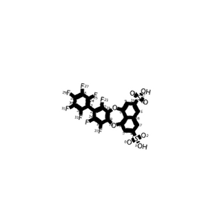 O=S(=O)(O)c1cc2c3c(cc(S(=O)(=O)O)cc3c1)Oc1c(F)c(-c3c(F)c(F)c(F)c(F)c3F)c(F)c(F)c1O2